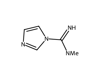 CNC(=N)n1ccnc1